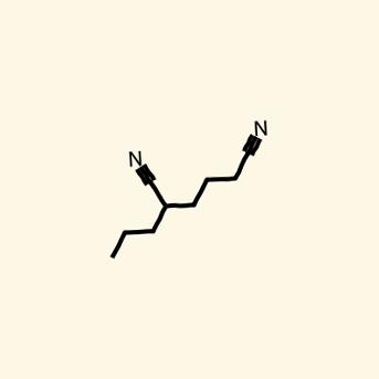 CCCC(C#N)CCCC#N